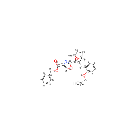 O=C(O)COc1ccccc1C[C@@H]1[C@H](c2nc(C(=O)OCc3ccccc3)co2)[C@H]2CC[C@@H]1O2